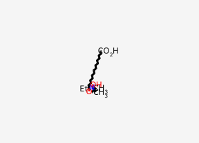 CCC1(CCCCCCCCCCCCCCC(=O)O)OCC(C)(C)N1O